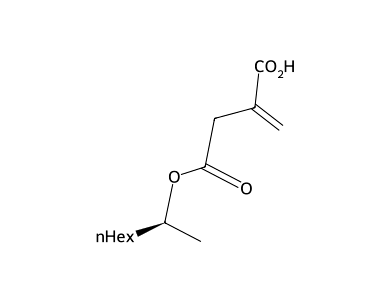 C=C(CC(=O)O[C@@H](C)CCCCCC)C(=O)O